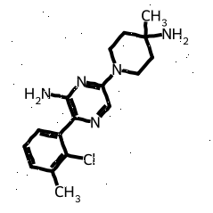 Cc1cccc(-c2ncc(N3CCC(C)(N)CC3)nc2N)c1Cl